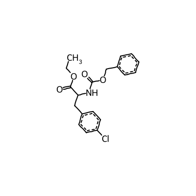 CCOC(=O)C(Cc1ccc(Cl)cc1)NC(=O)OCc1ccccc1